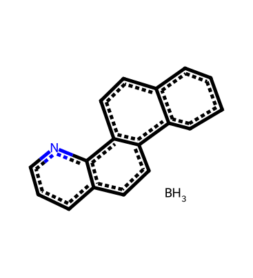 B.c1ccc2c(c1)ccc1c2ccc2cccnc21